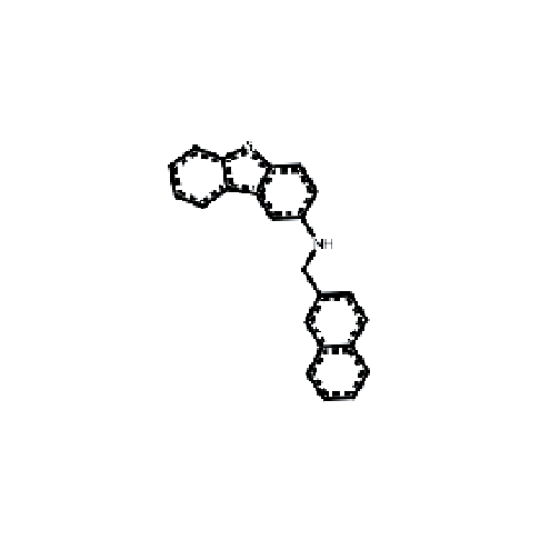 c1ccc2cc(CNc3ccc4sc5ccccc5c4c3)ccc2c1